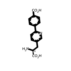 N[C@@H](Cc1ccc(-c2ccc(C(=O)O)cc2)nc1)C(=O)O